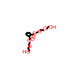 O=C(OCCOCCO)c1ccccc1C(=O)OCCOCCOCCO